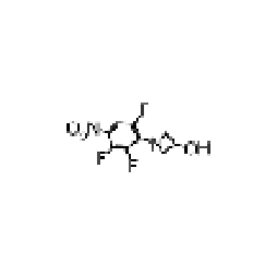 O=[N+]([O-])c1cc(F)c(N2CC(O)C2)c(F)c1F